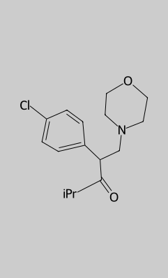 CC(C)C(=O)C(CN1CCOCC1)c1ccc(Cl)cc1